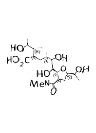 CNC(=O)[C@@H]1C[C@H](C(C)O)O[C@@H]1C(O)C(O)[C@@H](C)C[C@H](C(=O)O)[C@@H](C)C(C)O